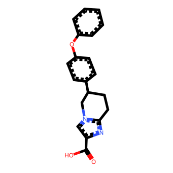 O=C(O)c1cn2c(n1)CCC(c1ccc(Oc3ccccc3)cc1)C2